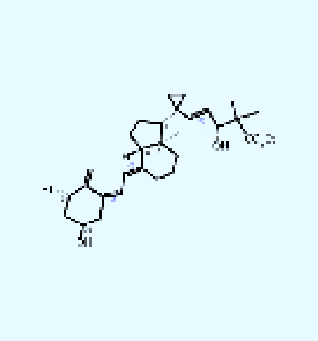 C=C1/C(=C\C=C2/CCC[C@]3(C)[C@@H](C4(/C=C/[C@@H](O)C(C)(C)C(=O)OCC)CC4)CC[C@@H]23)C[C@@H](O)C[C@@H]1O